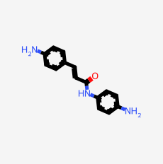 Nc1ccc(C=CC(=O)Nc2ccc(N)cc2)cc1